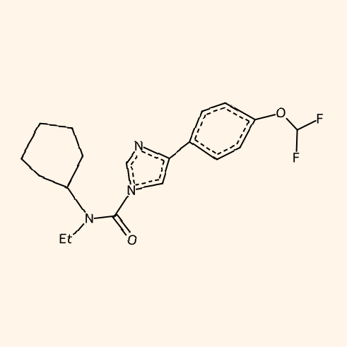 CCN(C(=O)n1cnc(-c2ccc(OC(F)F)cc2)c1)C1CCCCC1